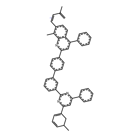 C=C(C)/C=C\c1ccc2c(-c3ccccc3)cc(-c3ccc(-c4cccc(-c5nc(C6=CC=CC(C)C6)cc(-c6ccccc6)n5)c4)cc3)nc2c1C